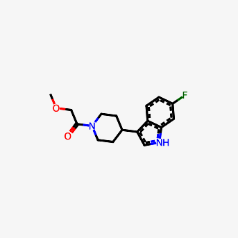 COCC(=O)N1CCC(c2c[nH]c3cc(F)ccc23)CC1